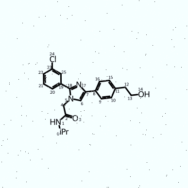 CC(C)NC(=O)Cn1cc(-c2ccc(CCO)cc2)nc1-c1cccc(Cl)c1